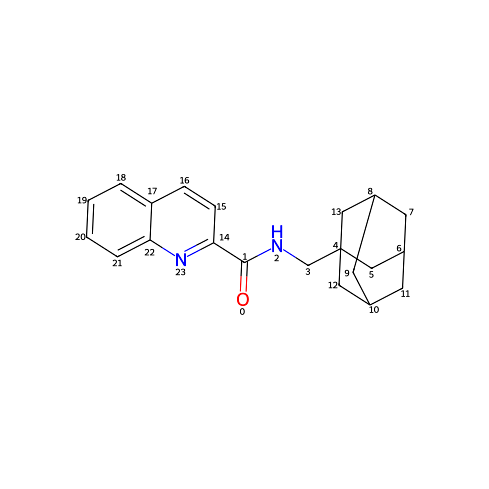 O=C(NCC12CC3CC(CC(C3)C1)C2)c1ccc2ccccc2n1